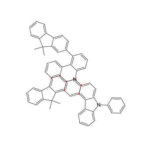 CC1(C)c2ccccc2-c2ccc(-c3cccc(N(c4ccc5c(c4)C(C)(C)c4ccccc4-5)c4ccc5c(c4)c4ccccc4n5-c4ccccc4)c3-c3ccccc3-c3ccccc3)cc21